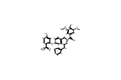 COc1cc(C(=O)N(CCCc2ccccc2)Cc2ccc(Oc3cc(Cl)ccc3C(=O)O)cc2)cc(OC)c1C